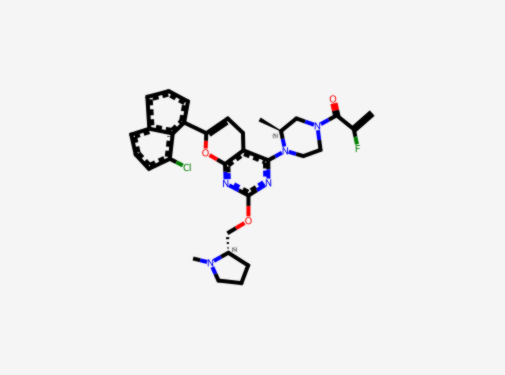 C=C(F)C(=O)N1CCN(c2nc(OC[C@@H]3CCCN3C)nc3c2CC=C(c2cccc4cccc(Cl)c24)O3)[C@@H](C)C1